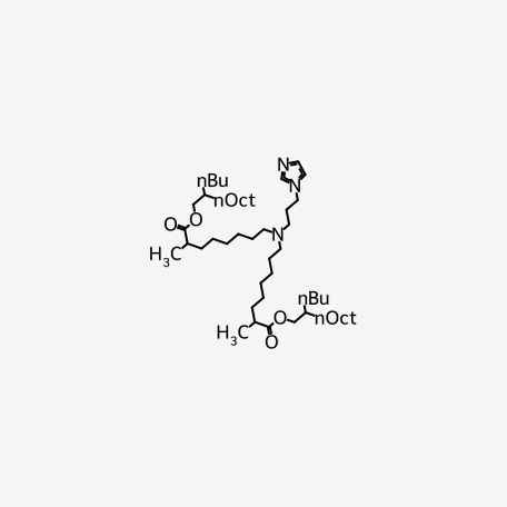 CCCCCCCCC(CCCC)COC(=O)C(C)CCCCCCN(CCCCCCC(C)C(=O)OCC(CCCC)CCCCCCCC)CCCn1ccnc1